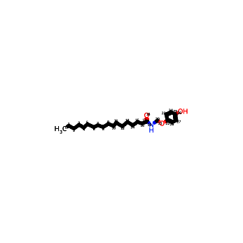 CCCCCCCCCCCCCCCCCC(=O)NCOc1ccc(O)cc1